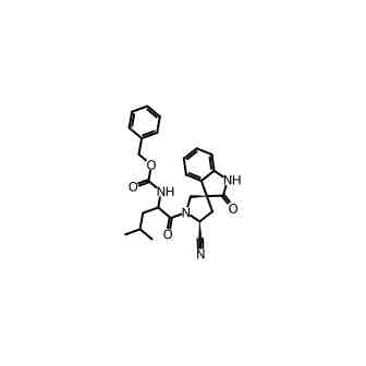 CC(C)CC(NC(=O)OCc1ccccc1)C(=O)N1C[C@]2(C[C@H]1C#N)C(=O)Nc1ccccc12